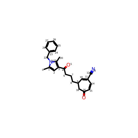 Cc1cc(C(=O)CCCC2C=C(C#N)C=CC(=O)C2)c(C)n1Cc1ccccc1